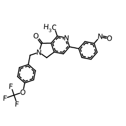 Cc1nc(-c2cccc(N=O)c2)cc2c1C(=O)N(Cc1ccc(OC(F)(F)F)cc1)C2